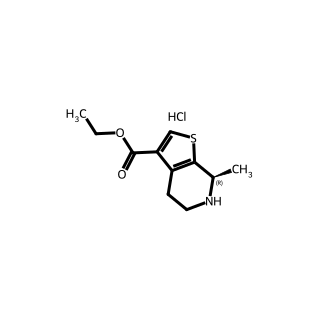 CCOC(=O)c1csc2c1CCN[C@@H]2C.Cl